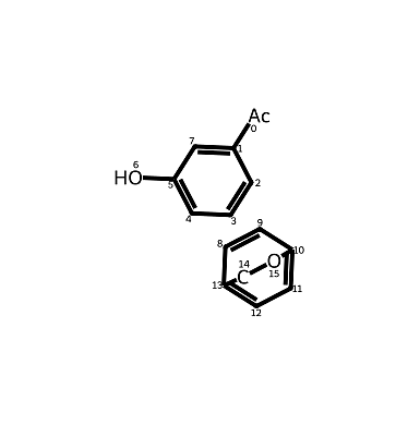 CC(=O)c1cccc(O)c1.c1cc2ccc1CO2